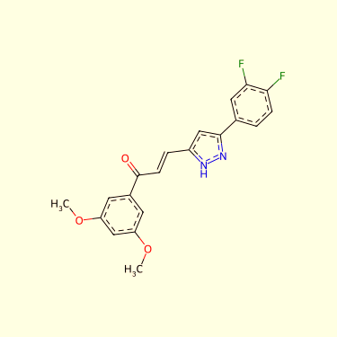 COc1cc(OC)cc(C(=O)/C=C/c2cc(-c3ccc(F)c(F)c3)n[nH]2)c1